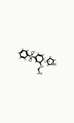 CC(=O)COC1C=C(S(=O)(=O)c2ccccc2)C=CC1[C@@H]1CCNC1